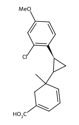 COc1ccc([C@H]2CC2C2(C)C=CC=C(C(=O)O)C2)c(Cl)c1